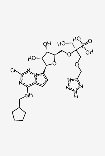 O=P(O)(O)[C@@](CO)(COCc1nn[nH]n1)OC[C@H]1O[C@@H](c2ccc3c(NCC4CCCC4)nc(Cl)nn23)[C@H](O)[C@@H]1O